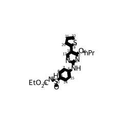 CCCOc1nc(Nc2ccc([SH](=O)=NC(=O)OCC)cc2)ncc1-c1cccs1